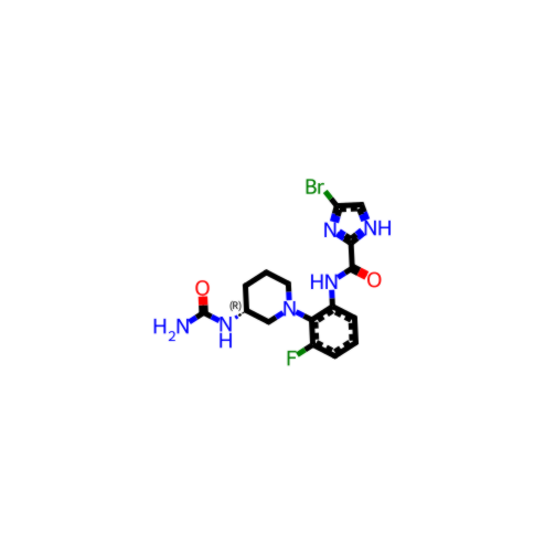 NC(=O)N[C@@H]1CCCN(c2c(F)cccc2NC(=O)c2nc(Br)c[nH]2)C1